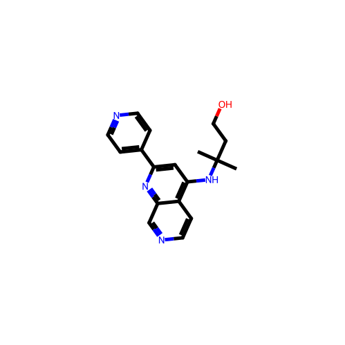 CC(C)(CCO)Nc1cc(-c2ccncc2)nc2cnccc12